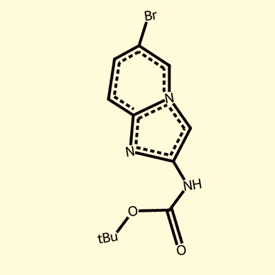 CC(C)(C)OC(=O)Nc1cn2cc(Br)ccc2n1